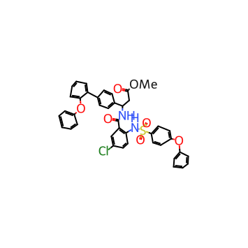 COC(=O)CC(NC(=O)c1cc(Cl)ccc1NS(=O)(=O)c1ccc(Oc2ccccc2)cc1)c1ccc(-c2ccccc2Oc2ccccc2)cc1